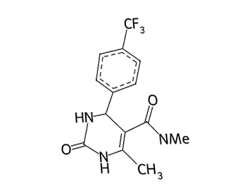 CNC(=O)C1=C(C)NC(=O)NC1c1ccc(C(F)(F)F)cc1